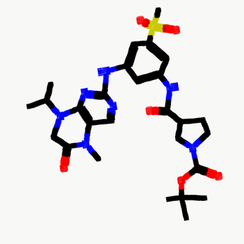 CC(C)N1CC(=O)N(C)c2cnc(Nc3cc(NC(=O)C4CCN(C(=O)OC(C)(C)C)C4)cc(S(C)(=O)=O)c3)nc21